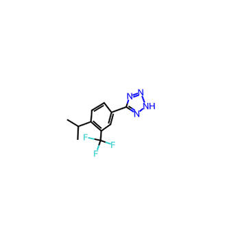 CC(C)c1ccc(-c2nn[nH]n2)cc1C(F)(F)F